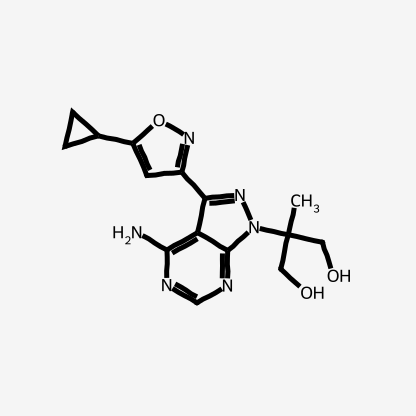 CC(CO)(CO)n1nc(-c2cc(C3CC3)on2)c2c(N)ncnc21